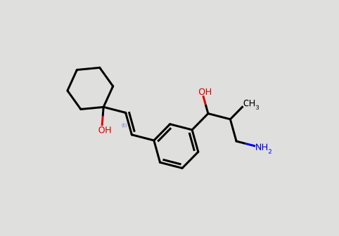 CC(CN)C(O)c1cccc(/C=C/C2(O)CCCCC2)c1